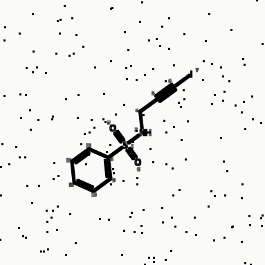 O=S(=O)(NCC#CI)c1ccccc1